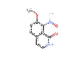 COc1ccc2cc[nH]c(=O)c2c1[N+](=O)[O-]